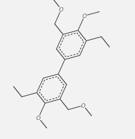 CCc1cc(-c2cc(CC)c(OC)c(COC)c2)cc(COC)c1OC